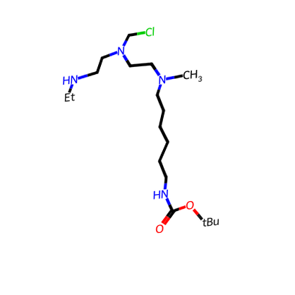 CCNCCN(CCl)CCN(C)CCCCCCNC(=O)OC(C)(C)C